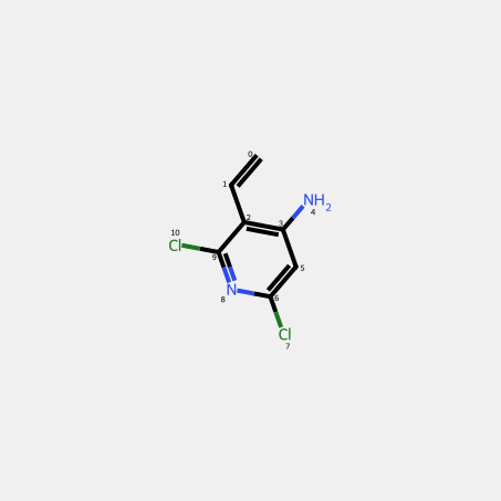 C=Cc1c(N)cc(Cl)nc1Cl